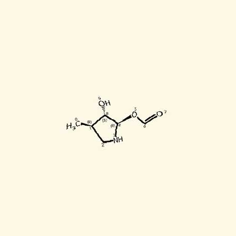 C[C@@H]1CN[C@H](OC=O)[C@H]1O